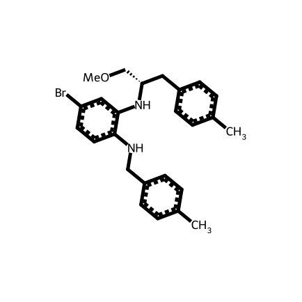 COC[C@H](Cc1ccc(C)cc1)Nc1cc(Br)ccc1NCc1ccc(C)cc1